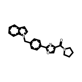 O=C(c1coc(-c2ccc(Cn3ccc4ccccc43)cc2)n1)N1CCCC1